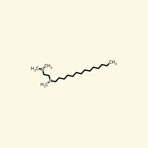 CCCCCCCCCCCCCCN(C)CCN(C)C